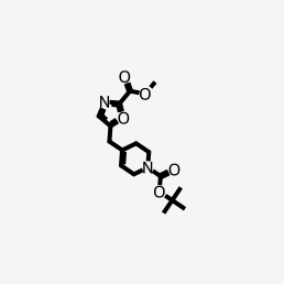 COC(=O)c1ncc(CC2=CCN(C(=O)OC(C)(C)C)CC2)o1